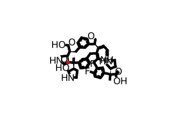 CC(C(=O)O)(c1ccc(F)c(CC2=C(Cc3cc(C(C)(C(=O)O)[C@H]4CCNC4)ccc3F)C([C@@H]3COc4ccc(C[C@H](C(=O)O)[C@H]5CCNC5)cc43)=CC=CN2)c1)[C@H]1CCNC1